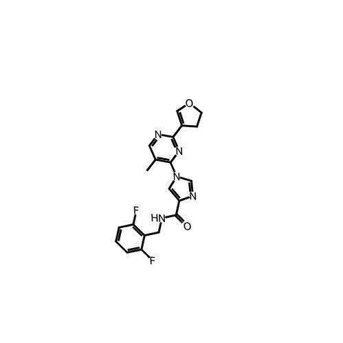 Cc1cnc(C2=COCC2)nc1-n1cnc(C(=O)NCc2c(F)cccc2F)c1